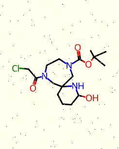 CC(C)(C)OC(=O)N1CCN(C(=O)CCl)CC2(CCCC(O)N2)C1